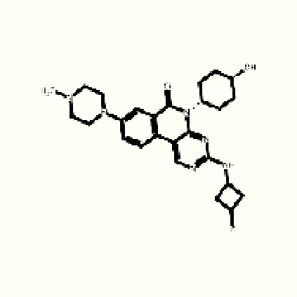 CN1CCN(c2ccc3c(c2)c(=O)n([C@H]2CC[C@H](O)CC2)c2nc(NC4CC(F)C4)ncc32)CC1